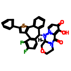 O=C1c2c(O)c(=O)ccn2N([C@H]2c3ccccc3-c3sc(-c4ccccc4)cc3-c3c2ccc(F)c3F)[C@@H]2COCCN12